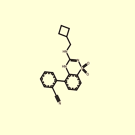 N#Cc1ccccc1-c1cccc2c1NC(NCC1CCC1)=NS2(=O)=O